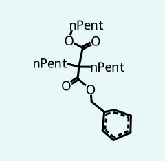 CCCCCOC(=O)C(CCCCC)(CCCCC)C(=O)OCc1ccccc1